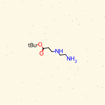 CC(C)(C)OC(=O)CCNCCN